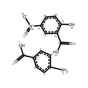 Nc1ccc(C(=O)O)cc1.O=C(O)c1cc([N+](=O)[O-])ccc1O